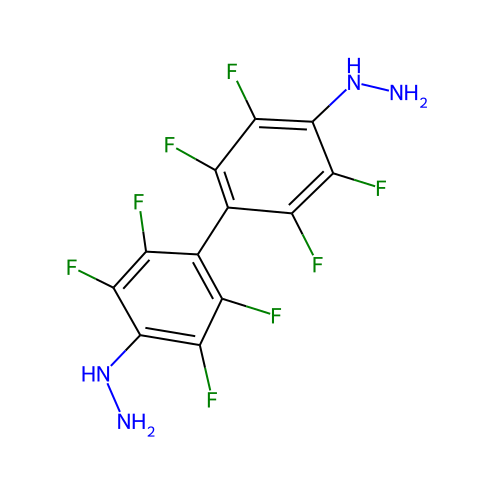 NNc1c(F)c(F)c(-c2c(F)c(F)c(NN)c(F)c2F)c(F)c1F